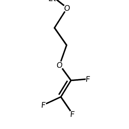 CCOCCOC(F)=C(F)F